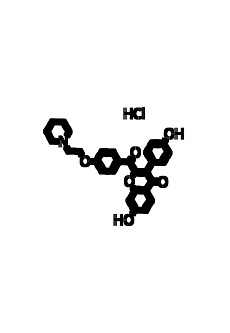 Cl.O=C(c1ccc(OCCN2CCCCC2)cc1)c1oc2cc(O)ccc2c(=O)c1-c1ccc(O)cc1